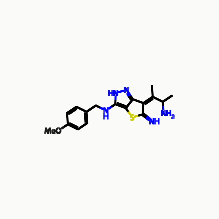 COc1ccc(CNc2[nH]nc3c2SC(=N)/C3=C(/C)C(C)N)cc1